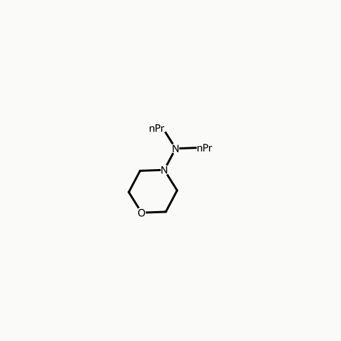 CCCN(CCC)N1CCOCC1